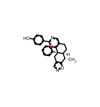 C[C@@H]1c2oncc2C[C@]2(c3ccccc3)c3nc(-c4ccc(O)cc4)ncc3CC[C@@H]12